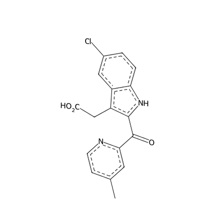 Cc1ccnc(C(=O)c2[nH]c3ccc(Cl)cc3c2CC(=O)O)c1